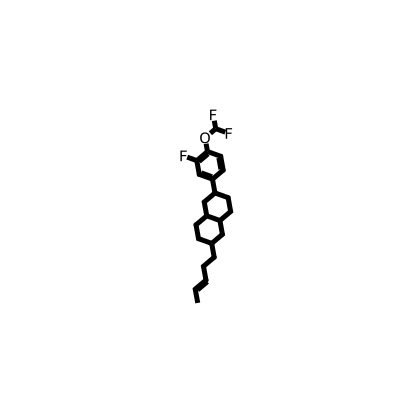 CC=CCCC1CCC2CC(c3ccc(OC(F)F)c(F)c3)CCC2C1